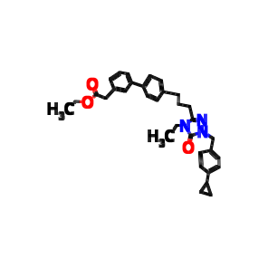 CCOC(=O)Cc1cccc(-c2ccc(CCCc3nn(Cc4ccc(C5CC5)cc4)c(=O)n3CC)cc2)c1